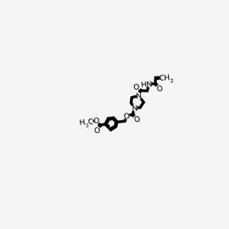 C=CC(=O)NCC(=O)N1CCN(C(=O)OCc2ccc(C(=O)OC)cc2)CC1